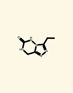 CCc1nnc2n1NC(=O)NC2